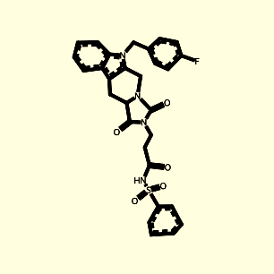 O=C(CCN1C(=O)C2Cc3c(n(Cc4ccc(F)cc4)c4ccccc34)CN2C1=O)NS(=O)(=O)c1ccccc1